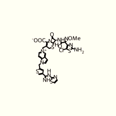 CON=C(C(=O)N[C@@H]1C(=O)N2C(C(=O)[O-])=C(C[n+]3ccc4c(ccn4Cc4cc(C(=N)Nc5nccs5)cs4)c3)CS[C@H]12)c1nc(N)sc1Cl